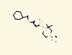 CC1(C)CN(S(C)(=O)=O)CCN1[n+]1cc([N-]C(=O)C2CCCCC2)on1